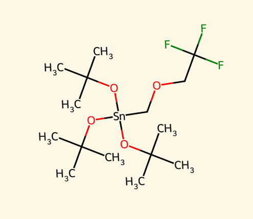 CC(C)(C)[O][Sn]([CH2]OCC(F)(F)F)([O]C(C)(C)C)[O]C(C)(C)C